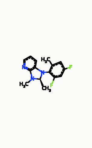 Cc1cc(F)cc(F)c1N1c2cccnc2N(C)[C@@H]1C